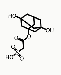 O=C(CS(=O)(=O)O)OC12CC3CC(O)(CC(O)(C3)C1)C2